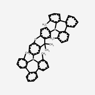 Cc1cccc2c1B(c1ccc3c(c1)C(C)(C)c1cc(B4c5c(C)cccc5-c5ccccc5-c5cccc(C)c54)ccc1O3)c1c(C)cccc1-c1ccccc1-2